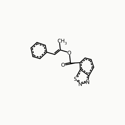 CC(=Cc1ccccc1)OC(=O)c1cccc2nnsc12